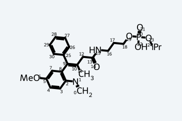 C=Nc1ccc(OC)cc1/C(=C(\C)CC(=O)NCCCOP(=O)(O)OC(C)C)c1ccccc1